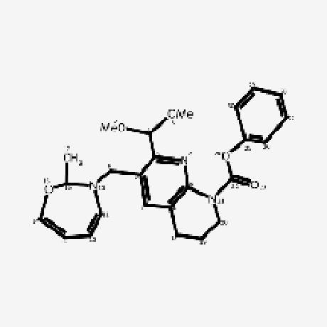 COC(OC)c1nc2c(cc1CN1C=CC=COC1C)CCCN2C(=O)Oc1ccccc1